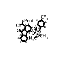 CCCCCC(Cl)c1ccc(OP(=O)(Sc2ccc(C(F)(F)F)cc2)N(C)C)c2c1C(=O)c1ccccc1-2